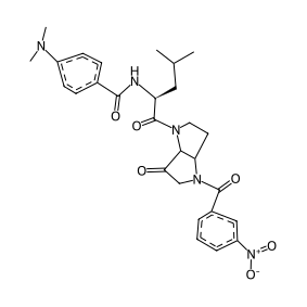 CC(C)C[C@H](NC(=O)c1ccc(N(C)C)cc1)C(=O)N1CCC2C1C(=O)CN2C(=O)c1cccc([N+](=O)[O-])c1